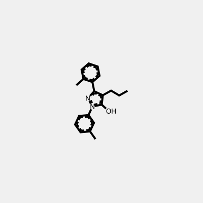 CCCc1c(-c2ccccc2C)nn(-c2cccc(C)c2)c1O